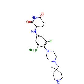 CC1(CN2CCN(c3c(F)cc(NC4CCC(=O)NC4=O)cc3F)CC2)CCNCC1.Cl